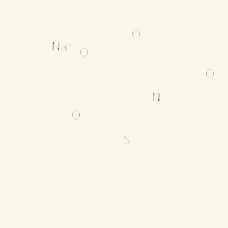 O=C([O-])C1=C(Oc2ccccc2)SC2CC(=O)N12.[Na+]